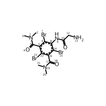 CN(C)C(=O)c1c(Br)c(NC(=O)CN)c(Br)c(C(=O)N(C)C)c1Br